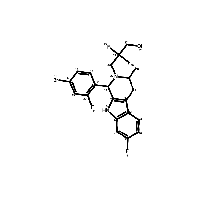 CC1Cc2c([nH]c3cc(F)ccc23)C(c2ccc(Br)cc2F)N1CC(F)(F)CO